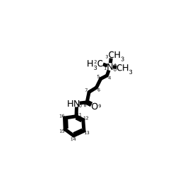 C[N+](C)(C)CCCCC(=O)Nc1cc[c]cc1